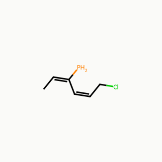 C/C=C(P)\C=C/CCl